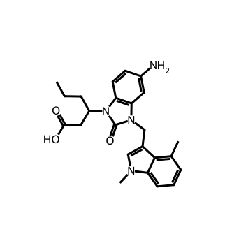 CCCC(CC(=O)O)n1c(=O)n(Cc2cn(C)c3cccc(C)c23)c2cc(N)ccc21